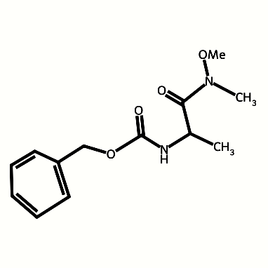 CON(C)C(=O)C(C)NC(=O)OCc1ccccc1